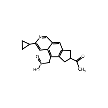 CC(=O)C1Cc2cc3cnc(C4CC4)cc3c(CS(=O)O)c2C1